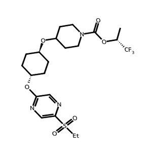 CCS(=O)(=O)c1cnc(O[C@H]2CC[C@H](OC3CCN(C(=O)O[C@H](C)C(F)(F)F)CC3)CC2)cn1